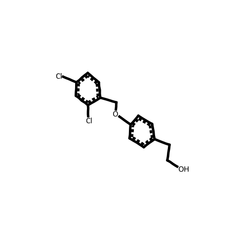 OCCc1ccc(OCc2ccc(Cl)cc2Cl)cc1